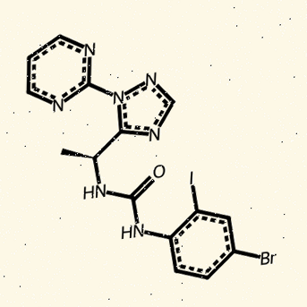 C[C@H](NC(=O)Nc1ccc(Br)cc1I)c1ncnn1-c1ncccn1